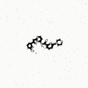 O=C(Nc1ccnc2cc(-c3cccc(C(F)(F)F)c3)nn12)c1cccc(N2CCOCC2)n1